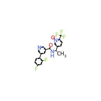 C[C@@H](NC(=O)c1cncc(-c2ccc(F)cc2F)c1)c1ccc(C(F)(F)F)[n+]([O-])c1